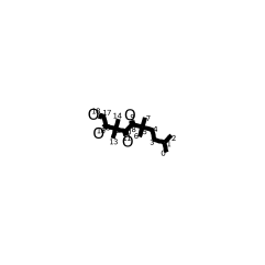 CC(C)CCC(C)(C)C(=O)C(=O)C(C)(C)C(=O)C=O